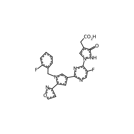 O=C(O)Cc1cn(-c2nc(-c3cc(-c4ccon4)n(Cc4ccccc4F)c3)ncc2F)[nH]c1=O